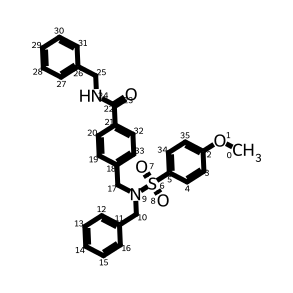 COc1ccc(S(=O)(=O)N(Cc2ccccc2)Cc2ccc(C(=O)NCc3ccccc3)cc2)cc1